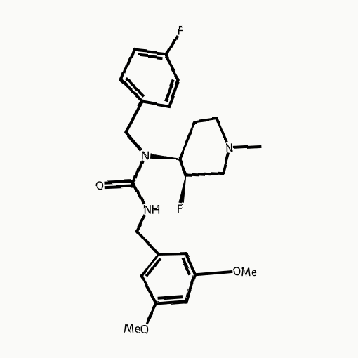 COc1cc(CNC(=O)N(Cc2ccc(F)cc2)[C@H]2CCN(C)C[C@H]2F)cc(OC)c1